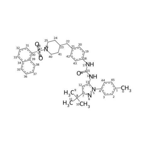 Cc1ccc(-n2nc(C(C)(C)C)cc2NC(=O)Nc2ccc(CC3CCN(S(=O)(=O)c4cccc5ccccc45)CC3)cc2)cc1